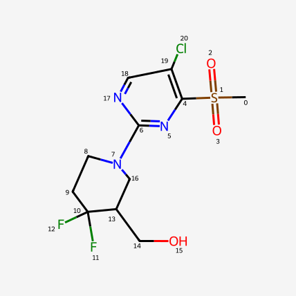 CS(=O)(=O)c1nc(N2CCC(F)(F)C(CO)C2)ncc1Cl